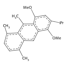 COc1c(C(C)C)cc(OC)c2c(C)c3c(C)ccc(C)c3cc12